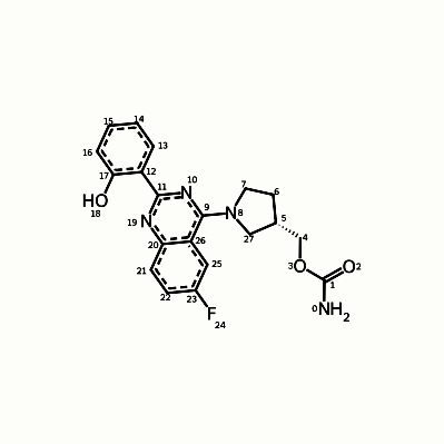 NC(=O)OC[C@H]1CCN(c2nc(-c3ccccc3O)nc3ccc(F)cc23)C1